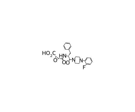 O=C(O)[C@H]1O[C@@H]1C(=O)N[C@@H](Cc1ccccc1)C(=O)N1CCN(c2ccccc2F)CC1